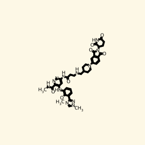 CNC(=O)c1nnc(NC(=O)CCNCC2CCN(c3ccc4c(c3)C(=O)N(C3CCC(=O)NC3=O)C4=O)CC2)cc1Nc1cccc(-c2ncn(C)n2)c1OC